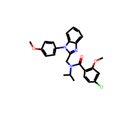 COc1ccc(-n2c(CN(C(=O)c3ccc(Cl)cc3OC)C(C)C)nc3ccccc32)cc1